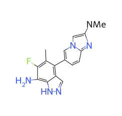 CNc1cn2cc(-c3c(C)c(F)c(N)c4[nH]ncc34)ccc2n1